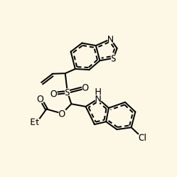 C=CC(c1ccc2ncsc2c1)S(=O)(=O)C(OC(=O)CC)c1cc2cc(Cl)ccc2[nH]1